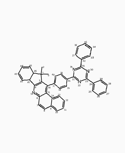 CC1(C)c2c(nc3ccc4ccccc4c3c2-c2ccc(-c3nc(-c4ccccc4)nc(-c4ccccc4)n3)cc2)C2C=CC=CC21